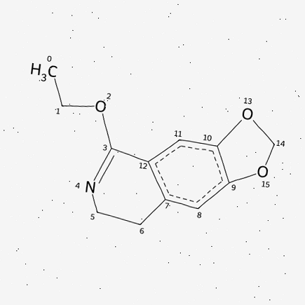 CCOC1=NCCc2cc3c(cc21)OCO3